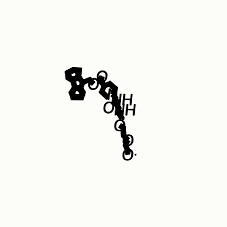 [O]CCOCCOCCNC(=O)NN1CCC(C(=O)OCC2c3ccccc3-c3ccccc32)CC1